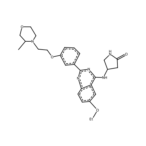 CCOc1ccc2nc(-c3cccc(OCCN4CCOCC4C)c3)nc(NC3CNC(=O)C3)c2c1